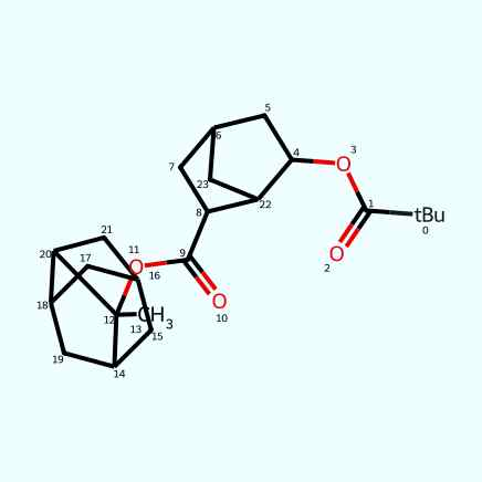 CC(C)(C)C(=O)OC1CC2CC(C(=O)OC3(C)C4CC5CC(C4)C3C5)C1C2